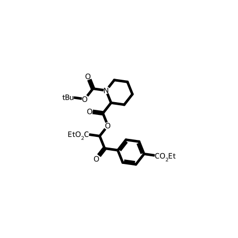 CCOC(=O)c1ccc(C(=O)C(OC(=O)C2CCCCN2C(=O)OC(C)(C)C)C(=O)OCC)cc1